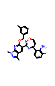 Cc1cccc(COc2nc3c(cc2C2=NOC=CC(c4cccc(F)c4N)=N2)c(C)nn3C)c1